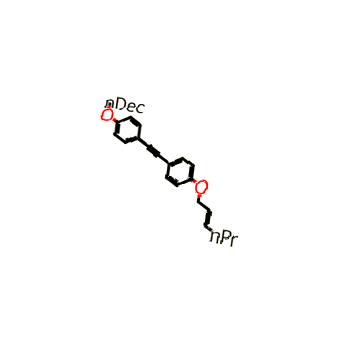 CCCC=CCOc1ccc(C#Cc2ccc(OCCCCCCCCCC)cc2)cc1